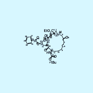 CCOC(=O)[C@@]12C[C@H]1CC(=O)CCCCC[C@H](NC(=O)OC(C)(C)C)C(=O)N1C[C@@H](OC(=O)c3ccccc3)C[C@H]1C(=O)N2